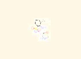 NS(=O)(=O)c1cccc([N+](=O)[O-])c1NC[C@H]1CNCCO1